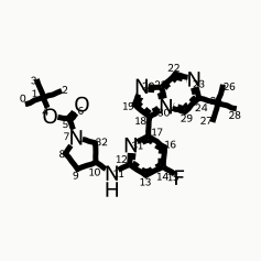 CC(C)(C)OC(=O)N1CCC(Nc2cc(F)cc(-c3cnc4cnc(C(C)(C)C)cn34)n2)C1